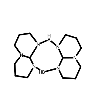 B1N2CCCN3CCCN(BN4CCCN5CCCN1C45)C23